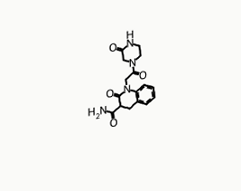 NC(=O)C1Cc2ccccc2N(CC(=O)N2CCNC(=O)C2)C1=O